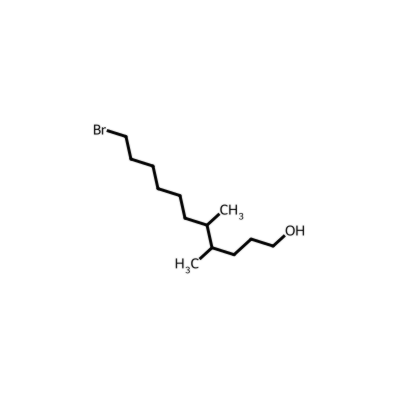 CC(CCCO)C(C)CCCCCCBr